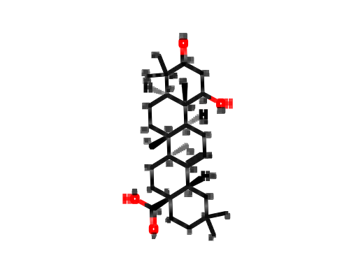 CC1(C)CC[C@]2(C(=O)O)CC[C@]3(C)C(=CC[C@@H]4[C@@]5(C)C(O)CC(=O)C(C)(C)[C@@H]5CC[C@]43C)[C@@H]2C1